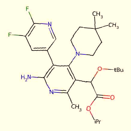 Cc1nc(N)c(-c2cnc(F)c(F)c2)c(N2CCC(C)(C)CC2)c1C(OC(C)(C)C)C(=O)OC(C)C